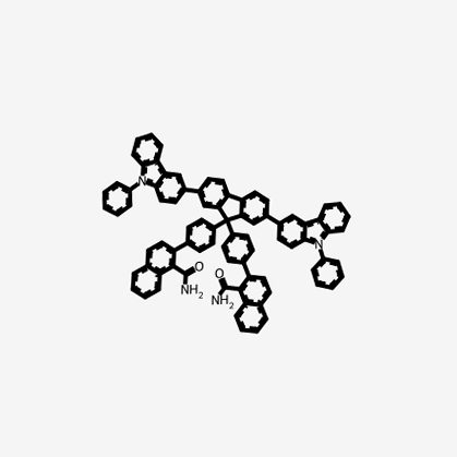 NC(=O)c1c(-c2ccc(C3(c4ccc(-c5ccc6ccccc6c5C(N)=O)cc4)c4cc(-c5ccc6c(c5)c5ccccc5n6-c5ccccc5)ccc4-c4ccc(-c5ccc6c(c5)c5ccccc5n6-c5ccccc5)cc43)cc2)ccc2ccccc12